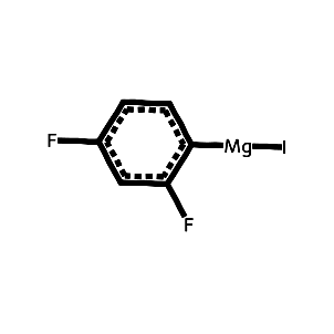 Fc1cc[c]([Mg][I])c(F)c1